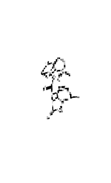 CC1C2CC3C1OC(=O)C3C2C(=O)OC1C2CC3C(O2)C1OS3(=O)=O